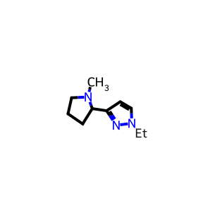 CCn1ccc(C2CCCN2C)n1